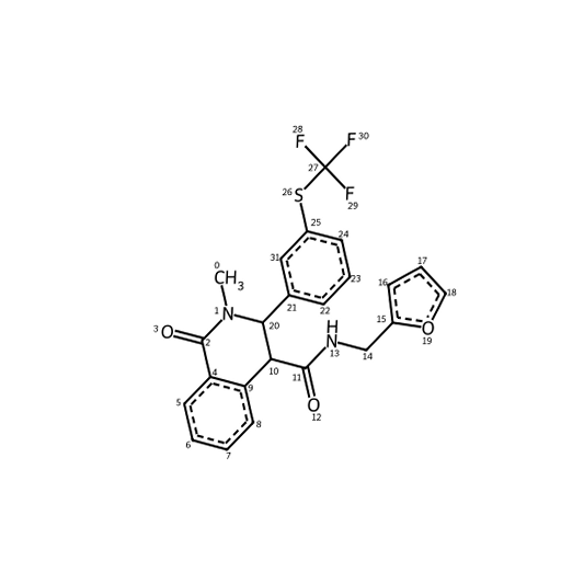 CN1C(=O)c2ccccc2C(C(=O)NCc2ccco2)C1c1cccc(SC(F)(F)F)c1